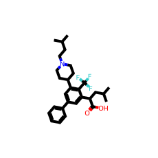 CC(C)CCN1CCC(c2cc(-c3ccccc3)cc(C(CC(C)C)C(=O)O)c2C(F)(F)F)CC1